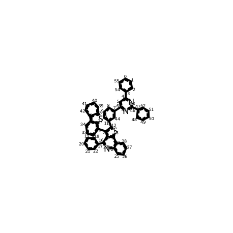 c1ccc(-c2cc(-c3cccc(-c4sc5c(c(-c6ccccc6)nc6ccccc65)c4-c4cccc5c4sc4ccccc45)c3)nc(-c3ccccc3)n2)cc1